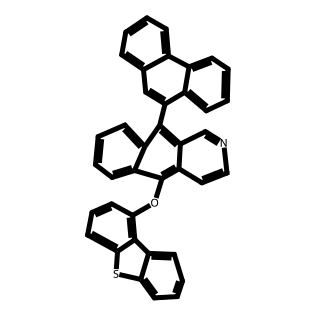 c1ccc2c(c1)cc(-c1c3ccccc3c(Oc3cccc4sc5ccccc5c34)c3ccncc13)c1ccccc12